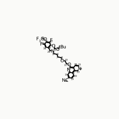 CC(C)(C)OC(=O)N(CCCCOCCOc1nc2cc(C#N)ccc2c2cnccc12)Cc1cc(F)c(OC(F)(F)F)c(F)c1